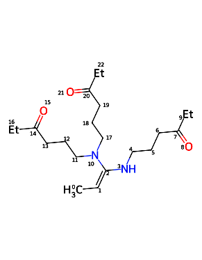 CC=C(NCCCC(=O)CC)N(CCCC(=O)CC)CCCC(=O)CC